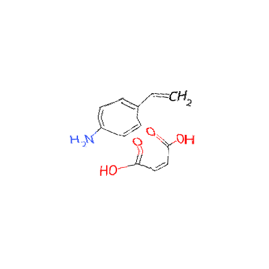 C=Cc1ccc(N)cc1.O=C(O)/C=C\C(=O)O